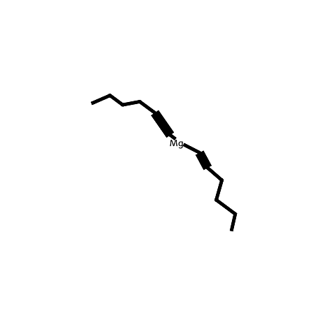 CCCCC#[C][Mg][C]#CCCCC